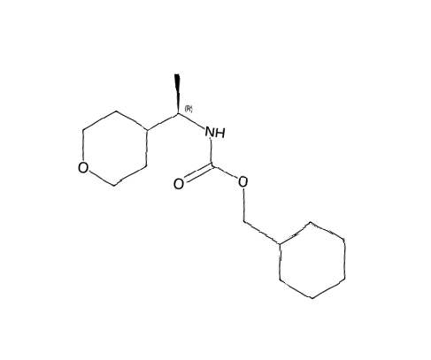 C[C@@H](NC(=O)OCC1CCCCC1)C1CCOCC1